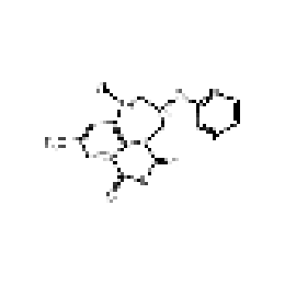 O=c1[nH]c(=O)n2c3c(cc(C(F)(F)F)cc13)[SH](Cl)C[C@@H](Oc1cnccn1)C2